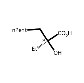 CCCCCC[C@@](O)(CC)C(=O)O